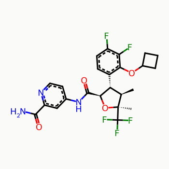 C[C@@H]1[C@@H](c2ccc(F)c(F)c2OC2CCC2)[C@H](C(=O)Nc2ccnc(C(N)=O)c2)O[C@]1(C)C(F)(F)F